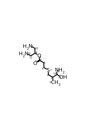 CC(CSCCC(=O)OC(CN)CN)C(N)O